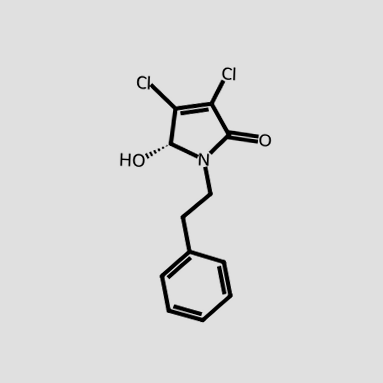 O=C1C(Cl)=C(Cl)[C@@H](O)N1CCc1ccccc1